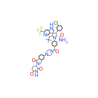 CC(C)(C)C[C@@H]1N(c2ccc(C(=O)N3CCN(c4ccc5c(c4)CN(C4CCC(=O)NC4=O)C5=O)CC3)cc2)[C@@H](C(N)=O)[C@H](c2cccc(Cl)c2F)[C@]12CNc1cc(C(F)(F)F)ncc12